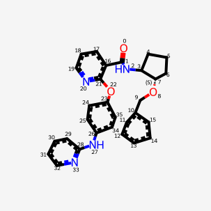 O=C(NC1CCC[C@@H]1OCc1ccccc1)c1cccnc1Oc1ccc(Nc2ccccn2)cc1